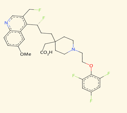 COc1ccc2ncc(CF)c([C@H](F)CCC3(CC(=O)O)CCN(CCOc4c(F)cc(F)cc4F)CC3)c2c1